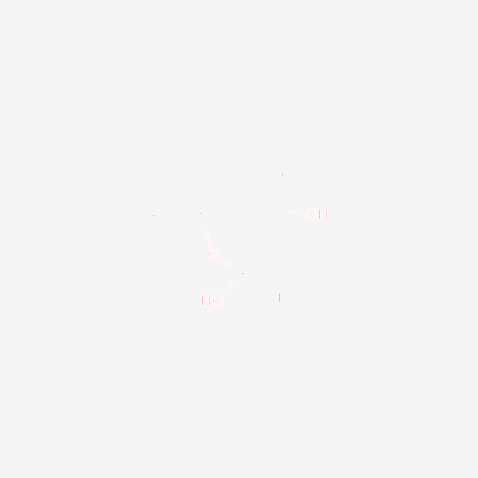 CC1(C(F)(F)F)CC(O)(C(F)(F)F)CC(O)(C(F)(F)F)O1